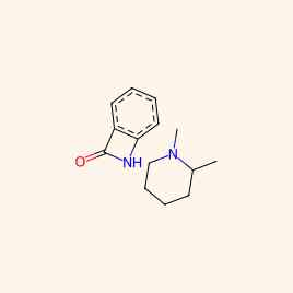 CC1CCCCN1C.O=C1Nc2ccccc21